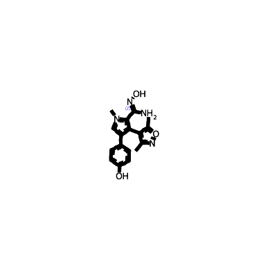 Cc1noc(C)c1-c1c(-c2ccc(O)cc2)cn(C)c1/C(N)=N/O